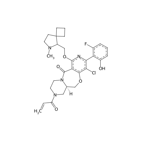 C=CC(=O)N1CCN2C(=O)c3c(OCC4N(C)CCC45CCC5)nc(-c4c(O)cccc4F)c(Cl)c3OC[C@H]2C1